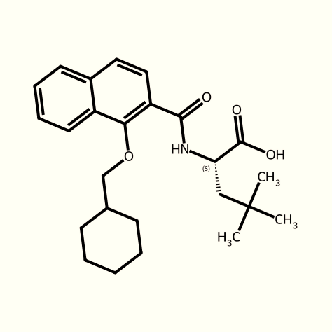 CC(C)(C)C[C@H](NC(=O)c1ccc2ccccc2c1OCC1CCCCC1)C(=O)O